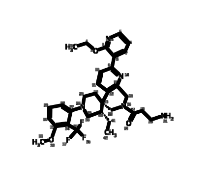 CCOc1ncccc1-c1ccc2c(n1)CN(C(=O)CCN)C[C@]21CCN(c2cccc(OC)c2C(F)(F)F)C[C@H]1CC